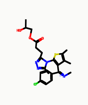 C/N=C(/c1ccc(Cl)cc1)c1c(-n2c(C)nnc2CCC(=O)OCC(C)O)sc(C)c1C